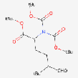 CC(C)(C)OC(=O)C(CCC(C=O)C(C)(C)C)N(C(=O)OC(C)(C)C)C(=O)OC(C)(C)C